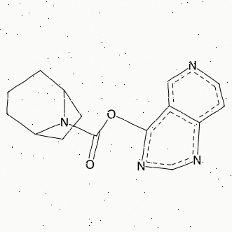 O=C(Oc1ncnc2ccncc12)N1C2CCCC1CC2